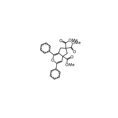 COC(=O)C12C=C(c3ccccc3)OC(c3ccccc3)=C1CC(C(=O)OC)(C(=O)OC)C2